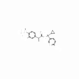 COC(NC(=O)C(C)c1ccc(N(C)[SH](=O)=O)c(F)c1)(c1ccc(C(F)(F)F)nc1)C1CC1